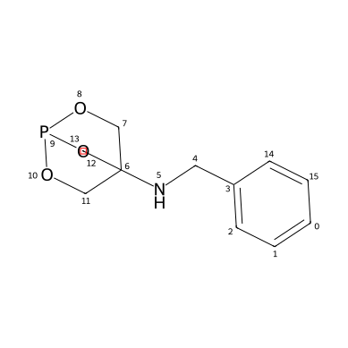 c1ccc(CNC23COP(OC2)OC3)cc1